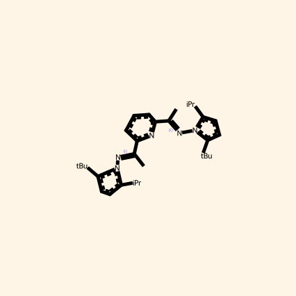 C/C(=N\n1c(C(C)C)ccc1C(C)(C)C)c1cccc(/C(C)=N/n2c(C(C)C)ccc2C(C)(C)C)n1